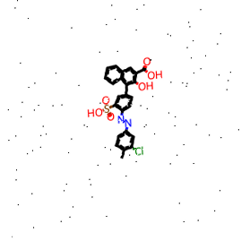 Cc1ccc(/N=N/c2ccc(-c3c(O)c(C(=O)O)cc4ccccc34)cc2S(=O)(=O)O)cc1Cl